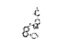 C=C(/C=N\N(C)C)c1ccc2nnc(Sc3ccc4nccc(N5CCOCC5)c4c3)n2c1